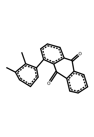 Cc1cccc(-c2cccc3c2C(=O)c2ccccc2C3=O)c1C